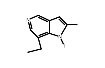 CCc1cncc2cc(I)n(I)c12